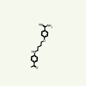 CC(=O)c1ccc(NCCCCOc2ccc(C(=N)N)cc2)cc1